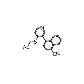 CC(=O)CSc1ccncc1-c1ccc(C#N)c2ccccc12